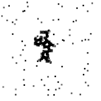 C[C@@H](O)COc1cc(F)c(Nc2ncc(F)c(N)n2)cc1-n1nnn(C)c1=O